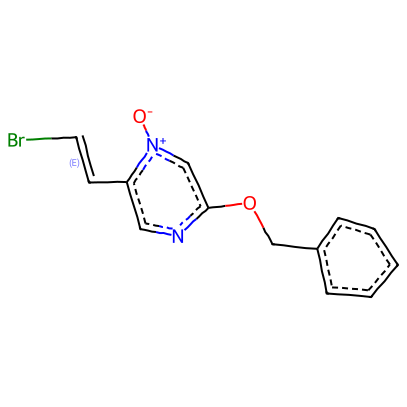 [O-][n+]1cc(OCc2ccccc2)ncc1/C=C/Br